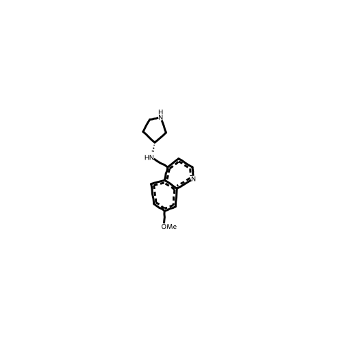 COc1ccc2c(N[C@@H]3CCNC3)ccnc2c1